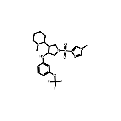 CN1CCCCC1C1CN(S(=O)(=O)c2cn(C)cn2)CC1Nc1cccc(OC(F)(F)F)c1